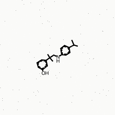 CC(C)c1ccc(NCC(C)(C)c2cccc(O)c2)cc1